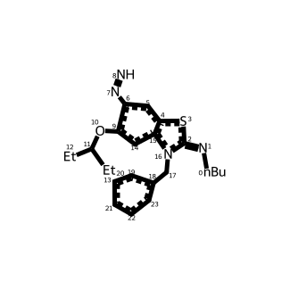 CCCC/N=c1/sc2cc(N=N)c(OC(CC)CC)cc2n1Cc1ccccc1